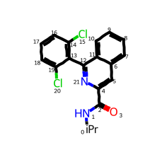 CC(C)NC(=O)c1cc2ccccc2c(-c2c(Cl)cccc2Cl)n1